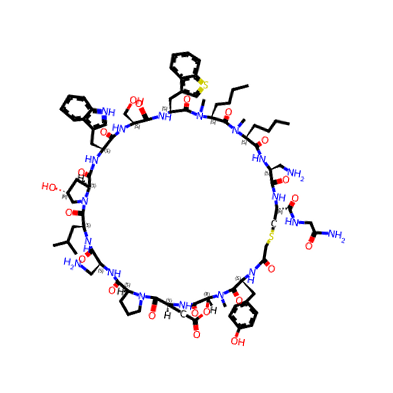 CCCC[C@H]1C(=O)N(C)[C@@H](CCCC)C(=O)N[C@@H](CN)C(=O)N[C@H](C(=O)NCC(N)=O)CSCC(=O)N[C@@H](Cc2ccc(O)cc2)C(=O)N(C)[C@@H]2OC(=O)C[C@H](NC2=O)C(=O)N2CCC[C@H]2C(=O)N[C@@H](CN)C(=O)N[C@@H](CC(C)C)C(=O)N2C[C@H](O)C[C@H]2C(=O)N[C@@H](Cc2c[nH]c3ccccc23)C(=O)N[C@@H](CO)C(=O)N[C@@H](Cc2csc3ccccc23)C(=O)N1C